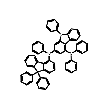 c1ccc(N(c2cc(N(c3ccccc3)c3ccccc3)c3c4ccccc4n(-c4ccccc4)c3c2)c2cccc3c2-c2ccccc2C3(c2ccccc2)c2ccccc2)cc1